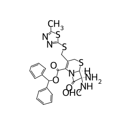 Cc1nnc(SCC2=C(C(=O)OC(c3ccccc3)c3ccccc3)N3C(=O)[C@](N)(NC=O)[C@@H]3SC2)s1